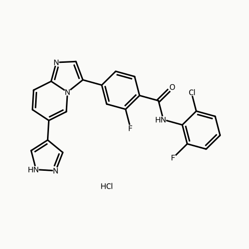 Cl.O=C(Nc1c(F)cccc1Cl)c1ccc(-c2cnc3ccc(-c4cn[nH]c4)cn23)cc1F